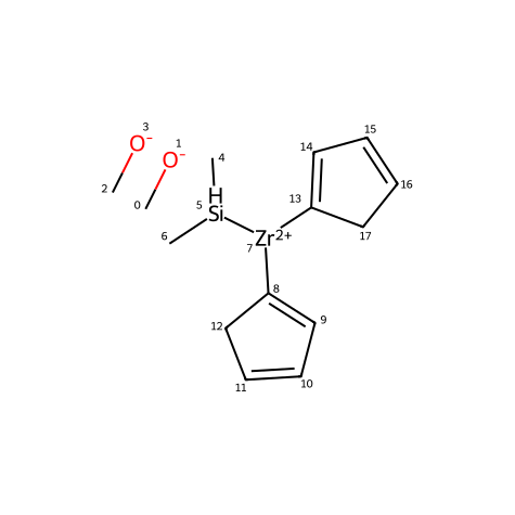 C[O-].C[O-].C[SiH](C)[Zr+2]([C]1=CC=CC1)[C]1=CC=CC1